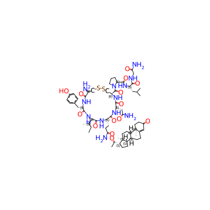 CC(=O)[C@H]1CC[C@H]2[C@@H]3CCC4=CC(=O)CC[C@]4(C)[C@H]3CC[C@]12C.CC[C@H](C)[C@@H]1NC(=O)[C@H](Cc2ccc(O)cc2)NC(=O)[C@@H](N)CSSC[C@@H](C(=O)N2CCC[C@H]2C(=O)N[C@@H](CC(C)C)C(=O)NCC(N)=O)NC(=O)[C@H](CC(N)=O)NC(=O)[C@H](CCC(N)=O)NC1=O